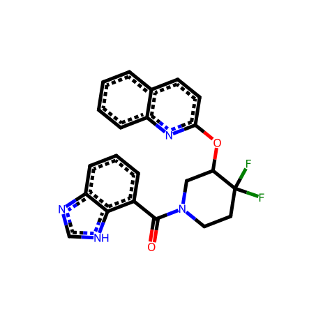 O=C(c1cccc2nc[nH]c12)N1CCC(F)(F)C(Oc2ccc3ccccc3n2)C1